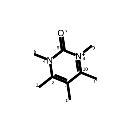 Cc1c(C)n(C)c(=O)[n+](C)c1C